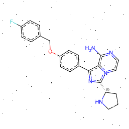 Nc1nccn2c([C@@H]3CCCN3)nc(-c3ccc(OCc4ccc(F)cc4)cc3)c12